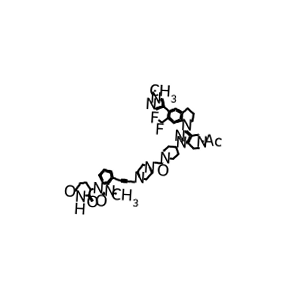 CC(=O)N1CCc2c(c(N3CCCc4cc(-c5cnn(C)c5)c(C(F)F)cc43)nn2C2CCN(C(=O)CN3CCN(CC#Cc4cccc5c4n(C)c(=O)n5C4CCC(=O)NC4=O)CC3)CC2)C1